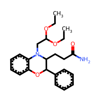 CCOC(CN1c2ccccc2OC(c2ccccc2)C1CCC(N)=O)OCC